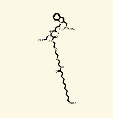 CCCCCCCCCCCCCCCCCCCCC(=O)NCCOCCOCCNC(=O)[C@H](CCC(=O)O)NC(=O)CCn1c(CN(C)NC)cc2ccccc21